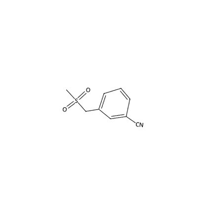 CS(=O)(=O)Cc1cccc(C#N)c1